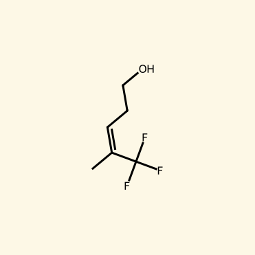 C/C(=C/CCO)C(F)(F)F